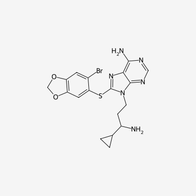 Nc1ncnc2c1nc(Sc1cc3c(cc1Br)OCO3)n2CCC(N)C1CC1